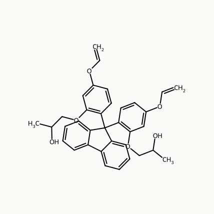 C=COc1ccc(C2(c3ccc(OC=C)cc3OCC(C)O)c3ccccc3-c3ccccc32)c(OCC(C)O)c1